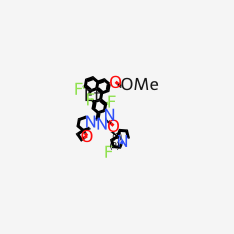 CCc1c(F)ccc2cc(OCOC)cc(-c3c(F)cc4c(N5CCCC6(CCO6)C5)nc(OC[C@@]56CCCN5C[C@H](F)C6)nc4c3F)c12